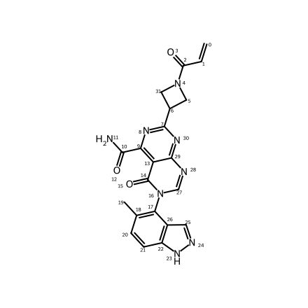 C=CC(=O)N1CC(c2nc(C(N)=O)c3c(=O)n(-c4c(C)ccc5[nH]ncc45)cnc3n2)C1